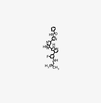 CN(C)CCNc1cc(F)cc(-c2ccnc3[nH]c(-c4n[nH]c5ncc(-c6cncc(NC(=O)c7ccccc7)c6)cc45)cc23)c1